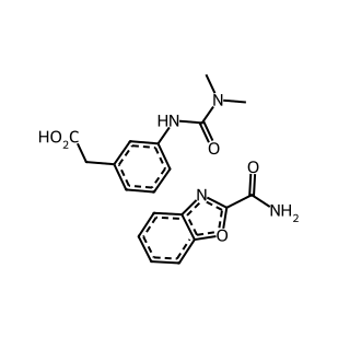 CN(C)C(=O)Nc1cccc(CC(=O)O)c1.NC(=O)c1nc2ccccc2o1